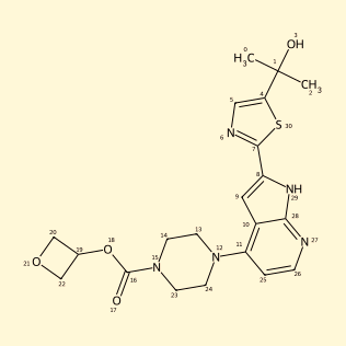 CC(C)(O)c1cnc(-c2cc3c(N4CCN(C(=O)OC5COC5)CC4)ccnc3[nH]2)s1